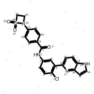 O=C(Nc1ccc(Cl)c(-c2ccc3[nH]ccc3n2)c1)c1ccc(N2CCS2(=O)=O)cc1